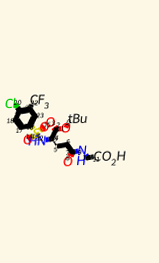 CC(C)(C)OC(=O)[C@H](CCC(=O)NCC(=O)O)NS(=O)(=O)c1ccc(Cl)c(C(F)(F)F)c1